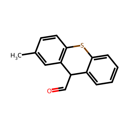 Cc1ccc2c(c1)C(C=O)c1ccccc1S2